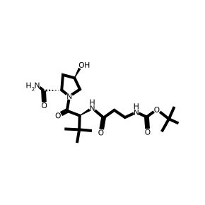 CC(C)(C)OC(=O)NCCC(=O)N[C@H](C(=O)N1C[C@H](O)C[C@H]1C(N)=O)C(C)(C)C